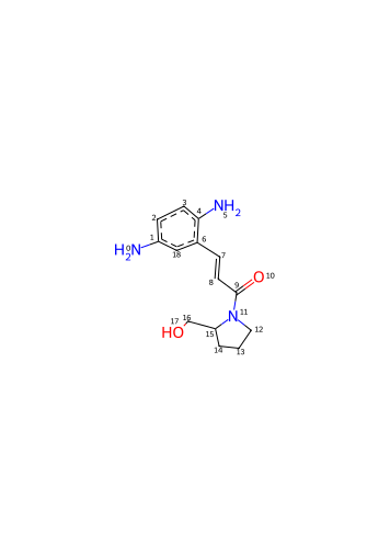 Nc1ccc(N)c(C=CC(=O)N2CCCC2CO)c1